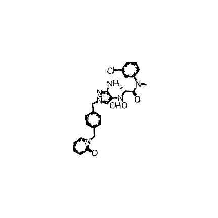 CN(C(=O)CN(C=O)c1cn(Cc2ccc(Cn3ccccc3=O)cc2)nc1N)c1cccc(Cl)c1